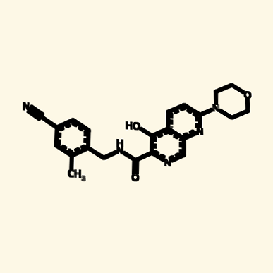 Cc1cc(C#N)ccc1CNC(=O)c1ncc2nc(N3CCOCC3)ccc2c1O